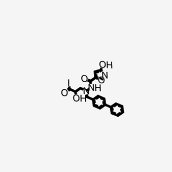 O=C(NN(Cc1ccc(-c2ccccc2)cc1)CC(O)C(=O)I)c1cc(O)no1